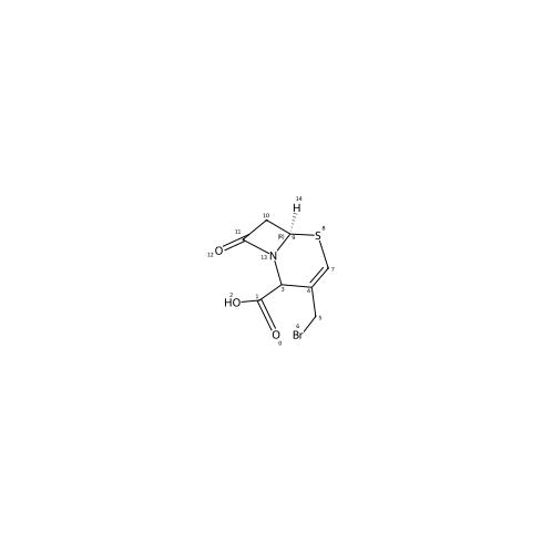 O=C(O)C1C(CBr)=CS[C@@H]2CC(=O)N12